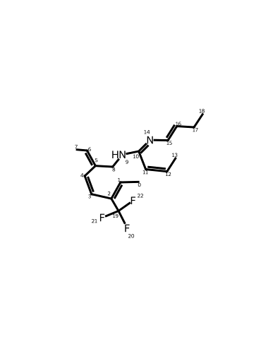 CC=C(/C=C\C(=C/C)CNC(/C=C\C)=N/C=C/CC)C(F)(F)F